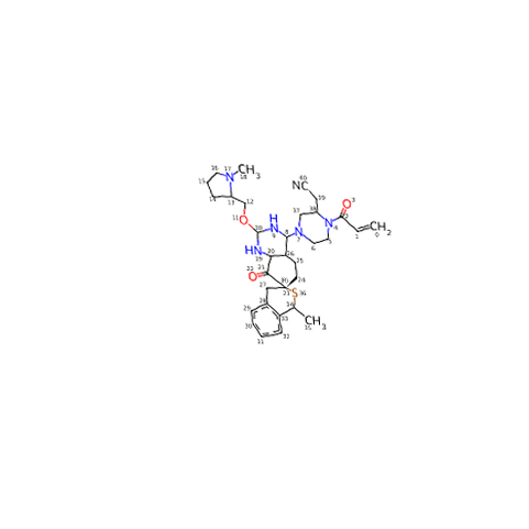 C=CC(=O)N1CCN(C2NC(OCC3CCCN3C)NC3C(=O)[C@@]4(CCC32)Cc2ccccc2C(C)S4)CC1CC#N